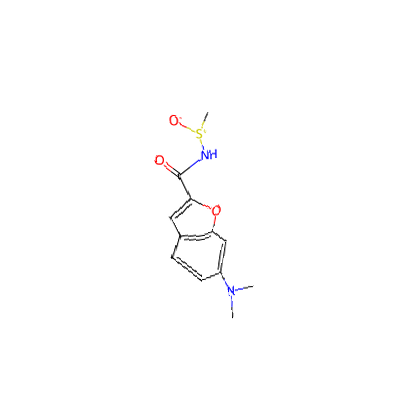 CN(C)c1ccc2cc(C(=O)N[S+](C)[O-])oc2c1